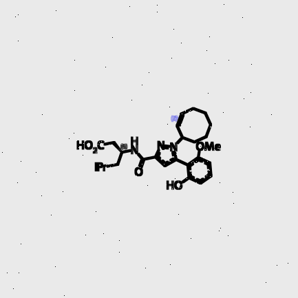 COc1cccc(O)c1-c1cc(C(=O)N[C@H](CC(=O)O)CC(C)C)nn1C1/C=C\CCCCC1